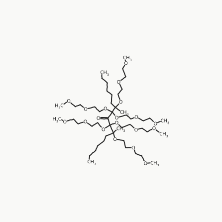 CCCCCCC(C)(OCCOCCOC)C(OCCOCCOC)(OCCOCCOC)C(=O)C(OCCOCCOC)(OCCOCCOC)C(C)(CCCCCC)OCCOCCOC